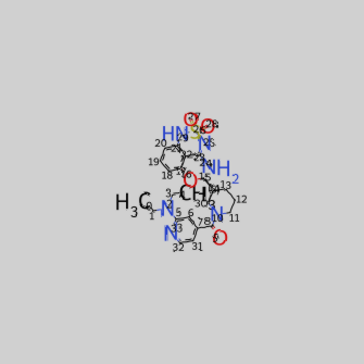 CCN(CC)c1cc(C(=O)N2CCC[C@H](COc3cccc4c3C(N)=NS(=O)(=O)N4)C2)ccn1